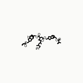 C=CC(=O)OCC1CC2C3CC(CC3COC(=O)C(CC(=O)OCC3CC4C5CC(COC(=O)C(=C)C)C(C5)C4C3)/C(C)=C/C(C)CC(C)CC(C)C)[C@H]2C1